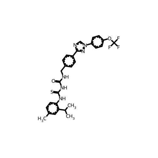 Cc1ccc(NC(=S)NC(=O)NCc2ccc(-c3ncn(-c4ccc(OC(F)(F)F)cc4)n3)cc2)c(C(C)C)c1